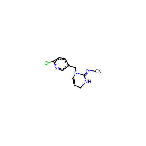 N#CN=C1NCC=CN1Cc1ccc(Cl)nc1